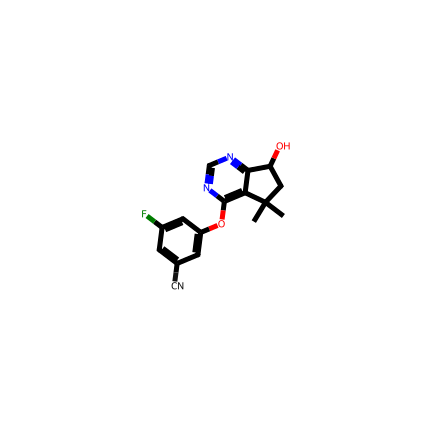 CC1(C)CC(O)c2ncnc(Oc3cc(F)cc(C#N)c3)c21